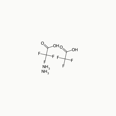 N.N.O=C(O)C(F)(F)F.O=C(O)C(F)(F)F